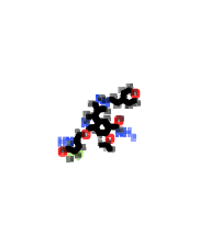 CC(C)Oc1cc2c(OCC3CC(F)(F)C(=O)N3)ncc(-c3cnn(CCC4CCOCC4)c3)c2cc1C(N)=O